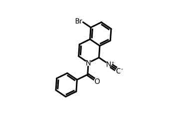 [C-]#[N+]C1c2cccc(Br)c2C=CN1C(=O)c1ccccc1